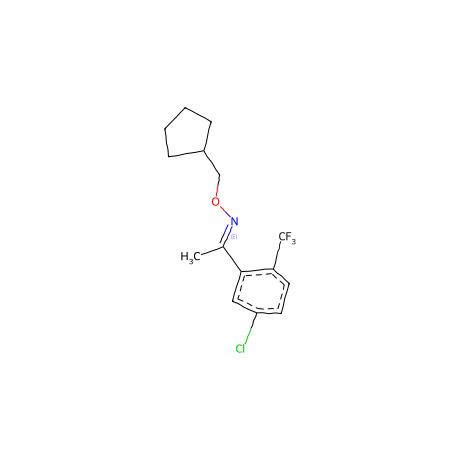 C/C(=N\OCC1CCCC1)c1cc(Cl)ccc1C(F)(F)F